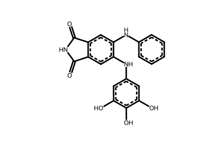 O=C1NC(=O)c2cc(Nc3cc(O)c(O)c(O)c3)c(Nc3ccccc3)cc21